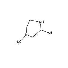 CN1CCNC(S)C1